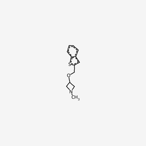 CN1CC(OCc2cc3ccccc3s2)C1